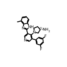 Cc1cccc2[nH]c(-c3cncc(-c4cc(F)cc(F)c4)c3N3CC[C@H](N)C3)nc12